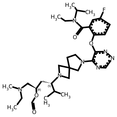 CCN(C)C[C@@H](C[C@@H](C(C)C)N1CC2(CCN(c3ncnnc3Oc3ccc(F)cc3C(=O)N(CC)C(C)C)C2)C1)OC=O